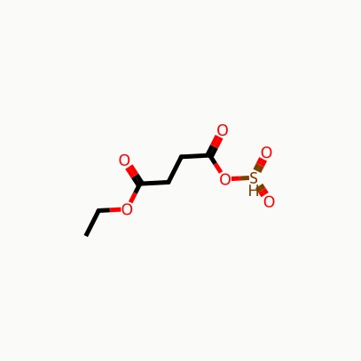 CCOC(=O)CCC(=O)O[SH](=O)=O